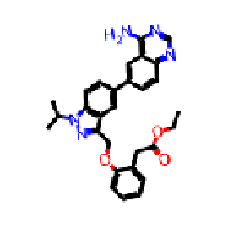 CCOC(=O)Cc1ccccc1OCc1nn(C(C)C)c2ccc(-c3ccc4ncnc(N)c4c3)cc12